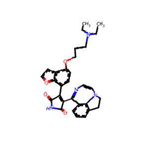 CCN(CC)CCCOc1ccc(C2=C(C3=NC=CN4CCc5cccc3c54)C(=O)NC2=O)c2occc12